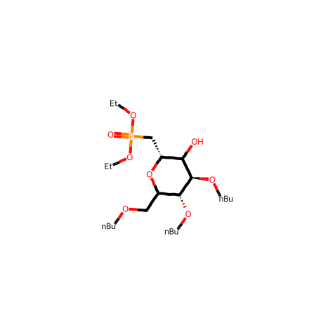 CCCCOCC1O[C@H](CP(=O)(OCC)OCC)C(O)[C@@H](OCCCC)[C@@H]1OCCCC